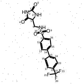 O=C1NC(=O)C(CNS(=O)(=O)c2ccc(-c3ccc(C(F)(F)F)cc3)cc2)N1